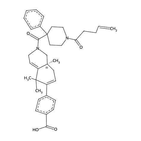 C=CCCC(=O)N1CCC(C(=O)N2CC=C3C(C)(C)C(c4ccc(C(=O)O)cc4)=CC[C@]3(C)C2)(c2ccccc2)CC1